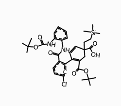 CC(C)(C)OC(=O)Nc1ccccc1NC(=O)c1ccc(Cl)cc1C1=C(C(=O)OC(C)(C)C)CC(CC[Si](C)(C)C)(C(=O)O)C=C1